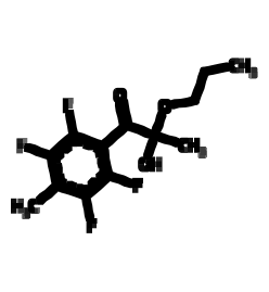 CCCOC(C)(O)C(=O)c1c(F)c(F)c(C)c(F)c1F